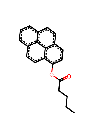 CCCCC(=O)Oc1ccc2ccc3cccc4ccc1c2c34